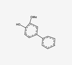 COc1cc(-c2cc[c]cc2)ccc1O